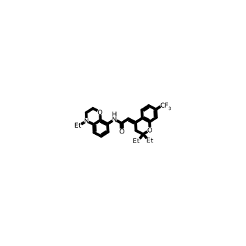 CCN1CCOc2c(NC(=O)C=C3CC(CC)(CC)Oc4cc(C(F)(F)F)ccc43)cccc21